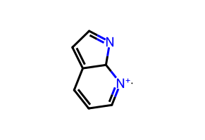 C1=CC2=CC=NC2[N+]=C1